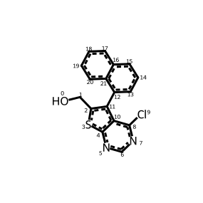 OCc1sc2ncnc(Cl)c2c1-c1cccc2ccccc12